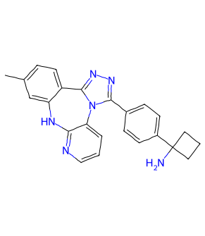 Cc1ccc2c(c1)Nc1ncccc1-n1c(-c3ccc(C4(N)CCC4)cc3)nnc1-2